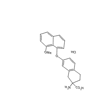 COc1cccc2cccc(Oc3ccc4c(c3)CC(N)(C(=O)O)CC4)c12.Cl